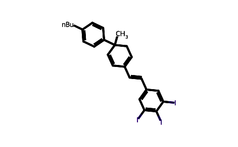 CCCCc1ccc(C2(C)C=CC(/C=C/c3cc(I)c(I)c(I)c3)=CC2)cc1